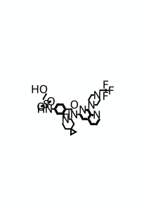 O=C(Nc1cc2cccnc2c(N2CCN(CC(F)(F)F)CC2)n1)c1ccc(NS(=O)(=O)CCO)cc1N1CCC2(CC1)CC2